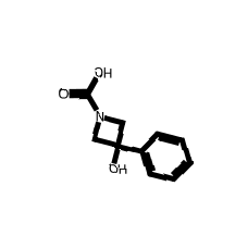 O=C(O)N1CC(O)(c2ccccc2)C1